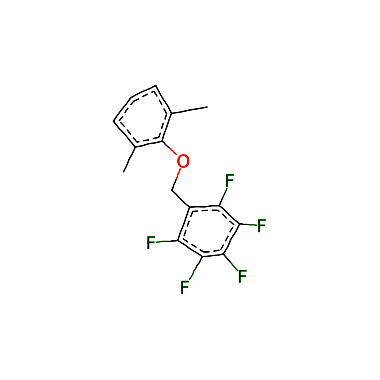 Cc1cccc(C)c1OCc1c(F)c(F)c(F)c(F)c1F